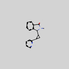 CN1C(=O)c2ccccc2C1C1CC1c1ccccn1